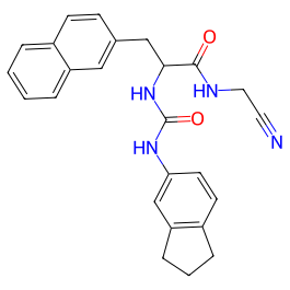 N#CCNC(=O)C(Cc1ccc2ccccc2c1)NC(=O)Nc1ccc2c(c1)CCC2